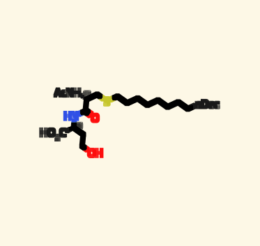 CCCCCCCCCCCCCCCCCCSC[C@@H](NC(C)=O)C(=O)N[C@@H](CCO)C(=O)O